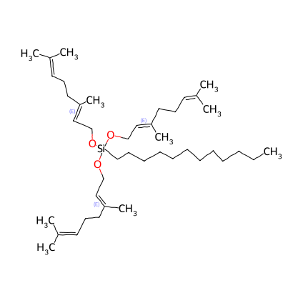 CCCCCCCCCCCC[Si](OC/C=C(\C)CCC=C(C)C)(OC/C=C(\C)CCC=C(C)C)OC/C=C(\C)CCC=C(C)C